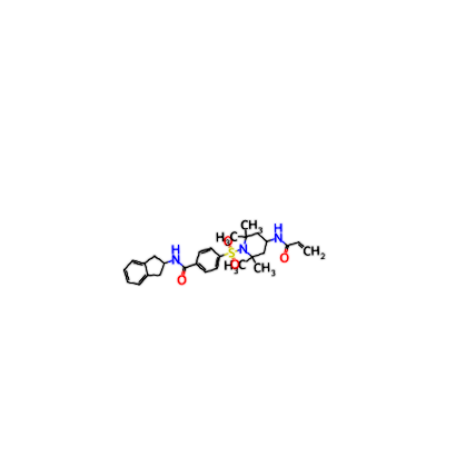 C=CC(=O)NC1CC(C)(C)N(S(=O)(=O)c2ccc(C(=O)NC3Cc4ccccc4C3)cc2)C(C)(C)C1